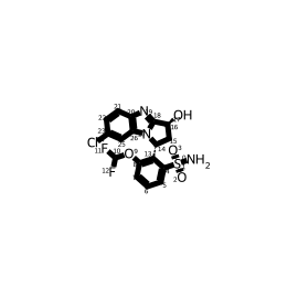 NS(=O)(=O)c1cccc(OC(F)F)c1[C@H]1C[C@H](O)c2nc3ccc(Cl)cc3n21